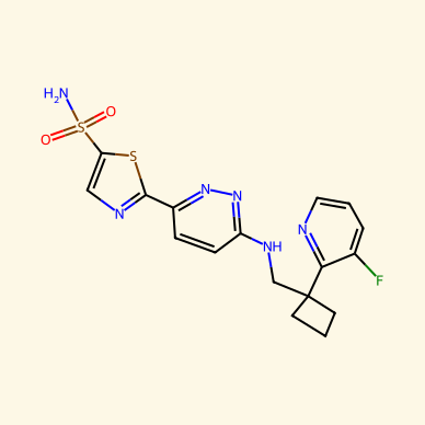 NS(=O)(=O)c1cnc(-c2ccc(NCC3(c4ncccc4F)CCC3)nn2)s1